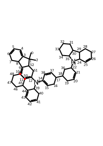 CC1(C)C2=CC=CCC2C2=CC=C(N(C3=CCC(C4CC=CC(N5C6C=CCCC6C6CCCCC65)C4)C=C3)C3CC=CC=C3C3CCCCC3)CC21